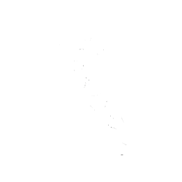 CO[C@@H]1[C@@H](OC)[C@H](C)O[C@@H](O/N=C/c2ccc(-n3ccc(-c4cccs4)n3)cc2)[C@@H]1OC